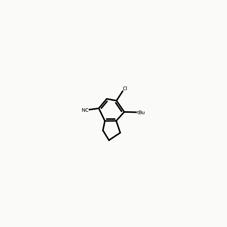 CC(C)(C)c1c(Cl)cc(C#N)c2c1CCC2